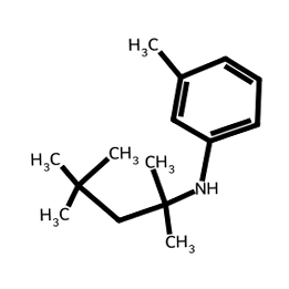 Cc1cccc(NC(C)(C)CC(C)(C)C)c1